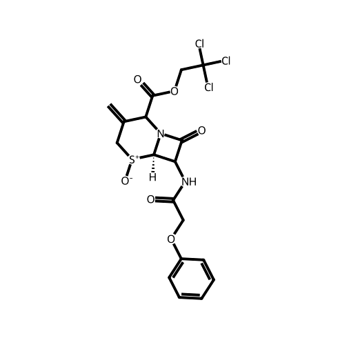 C=C1C[S+]([O-])[C@@H]2C(NC(=O)COc3ccccc3)C(=O)N2C1C(=O)OCC(Cl)(Cl)Cl